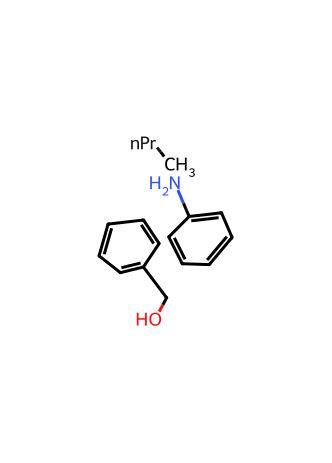 CCCC.Nc1ccccc1.OCc1ccccc1